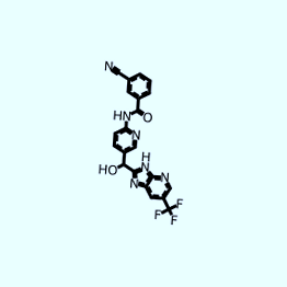 N#Cc1cccc(C(=O)Nc2ccc(C(O)c3nc4cc(C(F)(F)F)cnc4[nH]3)cn2)c1